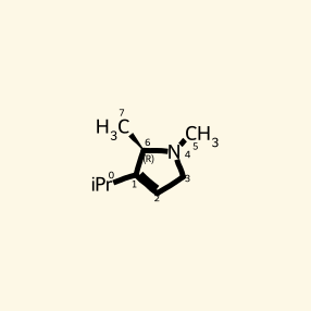 CC(C)C1=CCN(C)[C@@H]1C